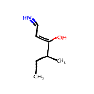 CCC(C)/C(O)=C/C=N